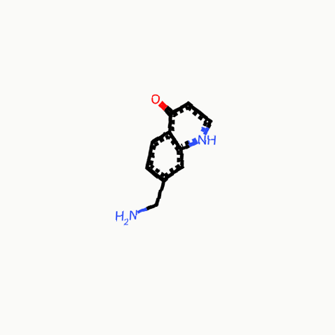 NCc1ccc2c(=O)cc[nH]c2c1